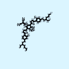 CCCCC(CC)CCc1ccc(-c2ccc(-c3c4c(c(-c5ccc(-c6ccc(CCC(CC)CCCC)cc6F)s5)c5nsnc35)SC(=C(C#N)C#N)S4)s2)c(F)c1